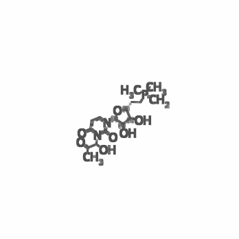 C=P(C)(C)CC[C@H]1O[C@@H](n2ccc(=O)n(C(O)C(C)=O)c2=O)[C@H](O)[C@@H]1O